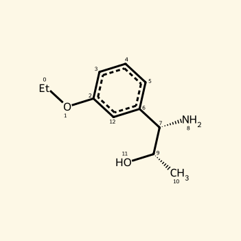 CCOc1cccc([C@H](N)[C@H](C)O)c1